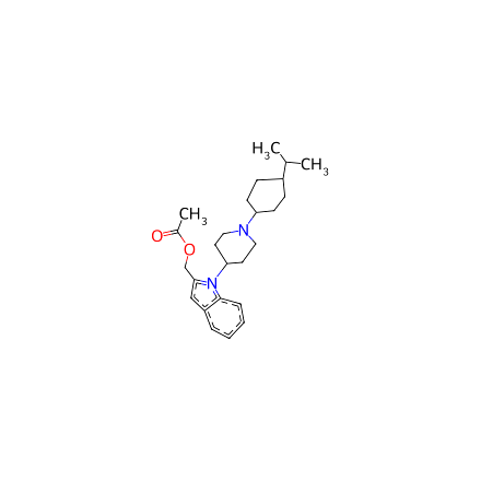 CC(=O)OCc1cc2ccccc2n1C1CCN(C2CCC(C(C)C)CC2)CC1